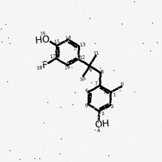 Cc1cc(O)ccc1CC(C)(C)c1ccc(O)c(F)c1